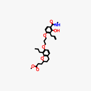 C=CCc1c(OCCCOc2ccc3c(c2CCC)OC(CCC(=O)OC)CC3)ccc(C(=O)NC)c1O